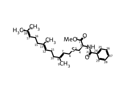 COC(=O)[C@H](CSC/C=C(\C)CC/C=C(\C)CCC=C(C)C)NC(=O)c1ccccc1